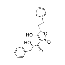 O=C1O[C@@H](CCc2ccccc2)C(O)=C1C(=O)[C@H](O)Cc1ccccc1